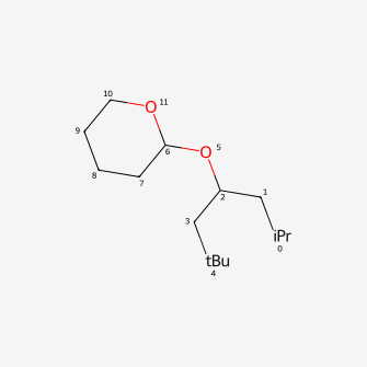 CC(C)CC(CC(C)(C)C)OC1CCCCO1